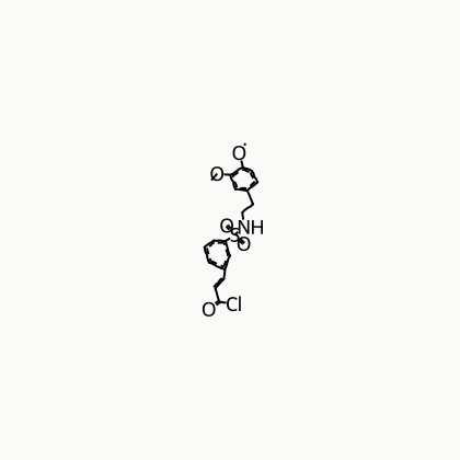 COc1ccc(CCNS(=O)(=O)c2cccc(C=CC(=O)Cl)c2)cc1OC